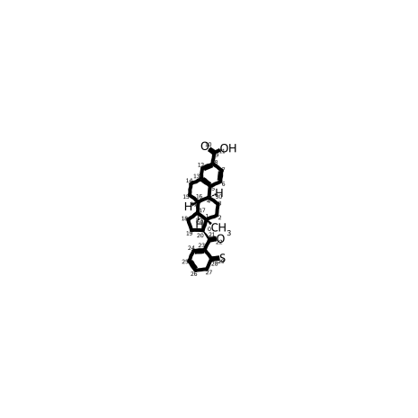 C[C@]12CC[C@@H]3c4ccc(C(=O)O)cc4CC[C@H]3[C@@H]1CC[C@@H]2C(=O)C1=CC=CCC1=S